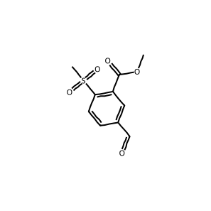 COC(=O)c1cc(C=O)ccc1S(C)(=O)=O